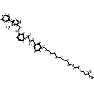 Cn1c(CNc2cccc(C(=O)NCc3cccc(OCCCCCCOCCOCCOCCC(=O)O)c3)c2)nnc1-c1ccncn1